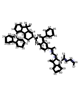 C=c1/c(=C\C=C(/C)c2ccc3nc([C@@H]4C=C5C(=CC4)c4c(-n6c7ccccc7c7ccccc76)cccc4C5(C)C)nc(-c4ccccc4)c3c2)n(/C(C)=C/C=C\C)c2ccccc12